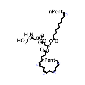 CCCCC/C=C\C/C=C\C/C=C\C/C=C\CCCC(=O)O[C@H](COC(=O)CCCCCCC/C=C\CCCCC)COP(=O)(O)OC[C@H](N)C(=O)O